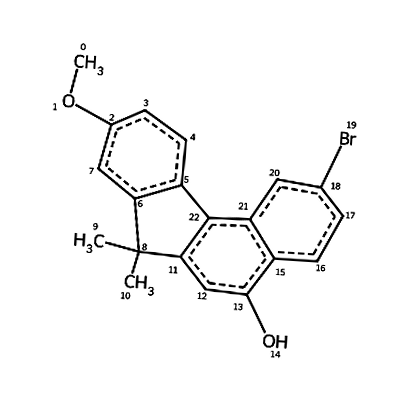 COc1ccc2c(c1)C(C)(C)c1cc(O)c3ccc(Br)cc3c1-2